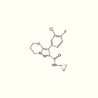 O=C(NC1CC1)c1nn2c(c1-c1ccc(F)c(Cl)c1)OCCC2